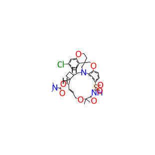 CN(C)C(=O)O[C@H]1/C=C/COC(C)(C)C(=O)NS(=O)(=O)c2ccc3c(c2)N(C[C@@H]2CC[C@H]21)C[C@@]1(CCOc2cc(Cl)ccc21)CO3